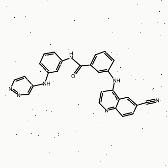 N#Cc1ccc2nccc(Nc3cccc(C(=O)Nc4cccc(Nc5ccnnc5)c4)c3)c2c1